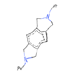 CC(C)N1Cc2cc3c(cc2C1)CN(C(C)C)C3